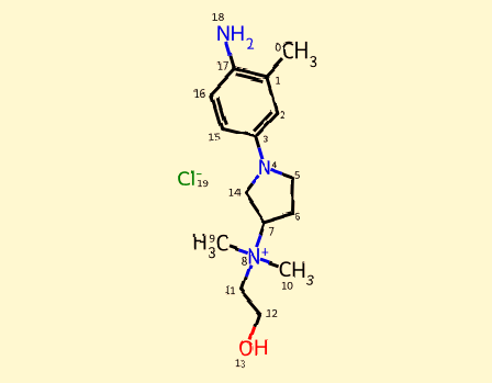 Cc1cc(N2CCC([N+](C)(C)CCO)C2)ccc1N.[Cl-]